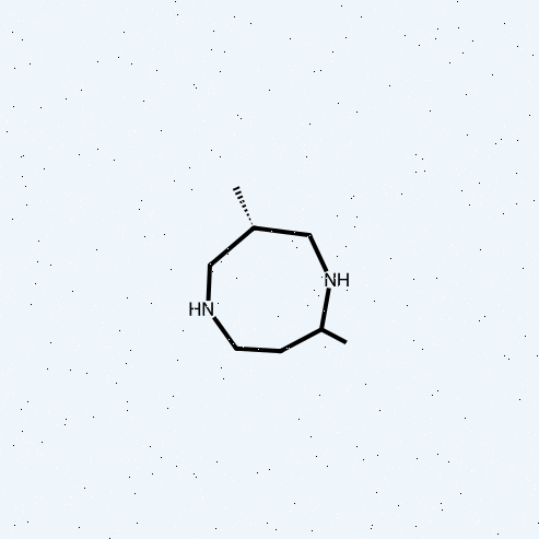 CC1CCNC[C@H](C)CN1